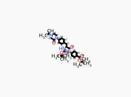 CC(C)N1CCN(c2ccc(CC(NC(=O)OC(C)(C)C)C(=O)Nc3ccc(C(=O)OC(C)(C)C)cc3)cc2)C(=O)C1